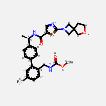 C[C@@H](NC(=O)c1cnc(N2CC3(CCOC3)C2)s1)c1ccc(-c2cc(C(F)(F)F)ccc2CNC(=O)OC(C)(C)C)cc1